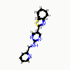 [c]1nc(NCc2ccccn2)ncc1-c1nc2ccccc2s1